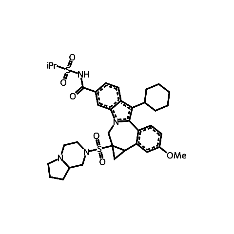 COc1ccc2c(c1)C1CC1(S(=O)(=O)N1CCN3CCCC3C1)Cn1c-2c(C2CCCCC2)c2ccc(C(=O)NS(=O)(=O)C(C)C)cc21